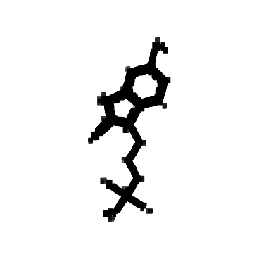 Bc1cnc2c(c1)[nH]c(=O)n2CCCC(F)(F)CCC